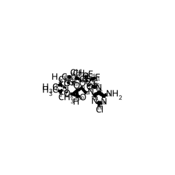 CC(C)[Si]1(C(C)C)OC2[C@H]3O[C@@H](n4cnc5c(N)nc(Cl)nc54)[C@H](OS(=O)(=O)C(F)(F)F)[C@@]23O[Si](C(C)C)(C(C)C)O1